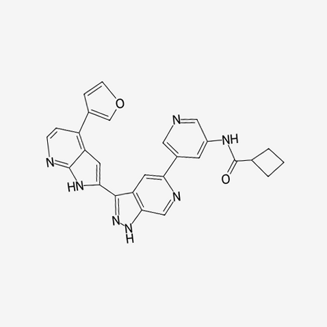 O=C(Nc1cncc(-c2cc3c(-c4cc5c(-c6ccoc6)ccnc5[nH]4)n[nH]c3cn2)c1)C1CCC1